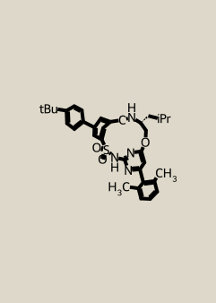 Cc1cccc(C)c1-c1cc2nc(n1)NS(=O)(=O)c1cc(cc(-c3ccc(C(C)(C)C)cc3)c1)CN[C@H](CC(C)C)CO2